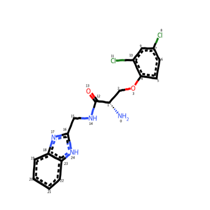 N[C@@H](COc1ccc(Cl)cc1Cl)C(=O)NCc1nc2ccccc2[nH]1